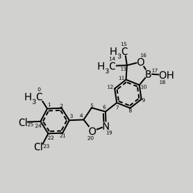 Cc1cc(C2CC(c3ccc4c(c3)C(C)(C)OB4O)=NO2)cc(Cl)c1Cl